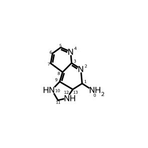 NC1N=c2ncccc2=C2NCNC21